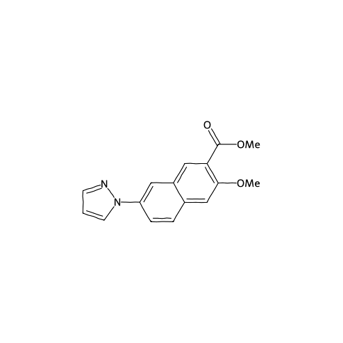 COC(=O)c1cc2cc(-n3cccn3)ccc2cc1OC